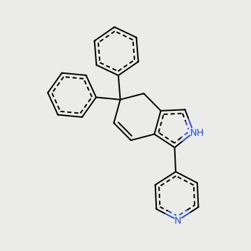 C1=CC(c2ccccc2)(c2ccccc2)Cc2c[nH]c(-c3ccncc3)c21